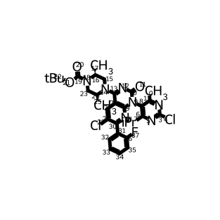 Cc1nc(Cl)nc(C(C)C)c1-n1c(=O)nc(N2C[C@@H](C)N(C(=O)OC(C)(C)C)C[C@@H]2C)c2cc(Cl)c(-c3ccccc3F)nc21